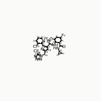 Cc1cc(F)cc(C(=O)NC2CC2)c1NC(=O)c1cc(Cn2nnnc2C(F)(F)F)nn1-c1ncccc1Cl